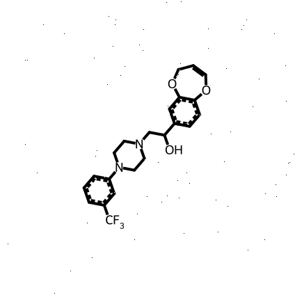 OC(CN1CCN(c2cccc(C(F)(F)F)c2)CC1)c1ccc2c(c1)OCC=CO2